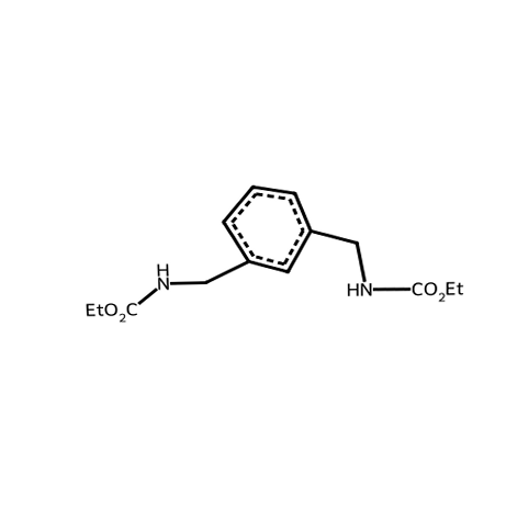 CCOC(=O)NCc1cccc(CNC(=O)OCC)c1